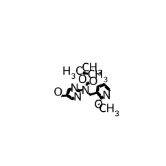 COc1ncccc1CN(C(=O)OC(C)(C)C)c1ncc(C=O)cn1